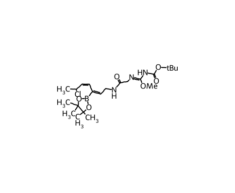 CO/C(=N\CC(=O)NC/C=C(\C=C/C(C)Cl)B1OC(C)(C)C(C)(C)O1)NC(=O)OC(C)(C)C